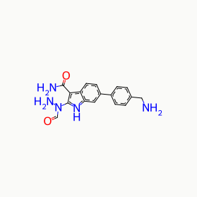 NCc1ccc(-c2ccc3c(C(N)=O)c(N(N)C=O)[nH]c3c2)cc1